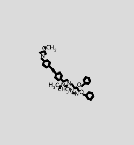 COC1CN(Cc2ccc(C#Cc3ccc(C4CN(Cc5ncnc(OCc6ccccc6)c5OCc5ccccc5)C(=O)N4C(C)C)cc3)cc2)C1